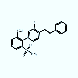 NS(=O)(=O)c1cccc(S(=O)(=O)O)c1-c1ccc(CCc2ccccc2)c(F)c1